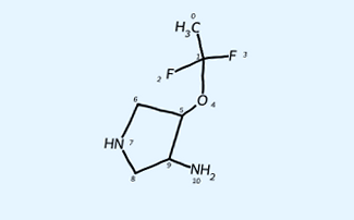 CC(F)(F)OC1CNCC1N